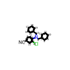 N#Cc1ccc(N(Cc2ccccc2)Cc2ccccc2)c(Cl)c1